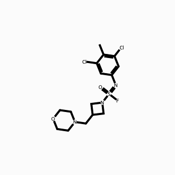 Cc1c(Cl)cc(N=S(=O)(F)N2CC(CN3CCOCC3)C2)cc1Cl